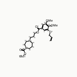 C=CCOc1cc(C(=O)OCCCN2CCCN(C(=O)OC(C)(C)C)CC2)cc(OC)c1OC